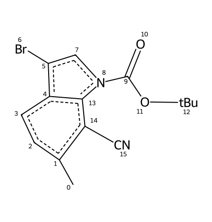 Cc1ccc2c(Br)cn(C(=O)OC(C)(C)C)c2c1C#N